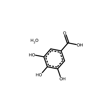 O.O=C(O)c1cc(O)c(O)c(O)c1